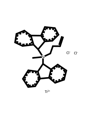 C=CCC[Si](C)(C1c2ccccc2-c2ccccc21)C1c2ccccc2-c2ccccc21.[Cl-].[Cl-].[Ti+2]